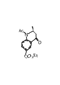 CCOC(=O)c1ccc2c(c1)C(=O)C[C@H](C)N2C(C)=O